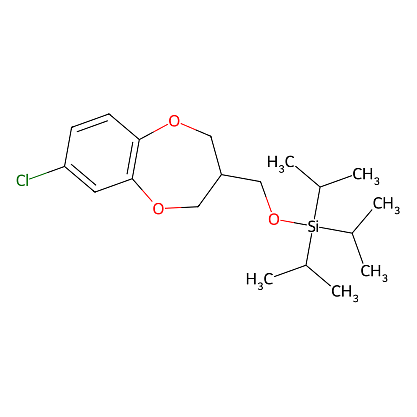 CC(C)[Si](OCC1COc2ccc(Cl)cc2OC1)(C(C)C)C(C)C